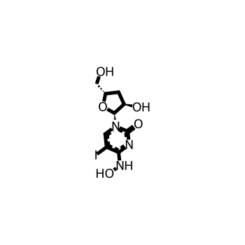 O=c1nc(NO)c(I)cn1[C@@H]1O[C@H](CO)C[C@H]1O